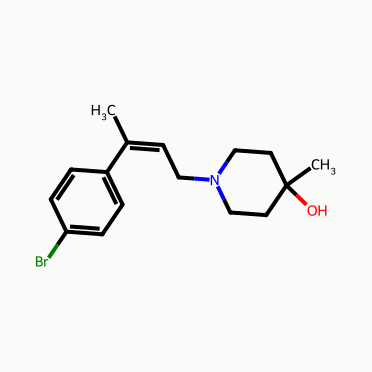 CC(=CCN1CCC(C)(O)CC1)c1ccc(Br)cc1